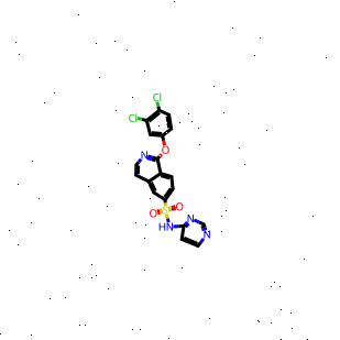 O=S(=O)(Nc1ccncn1)c1ccc2c(Oc3ccc(Cl)c(Cl)c3)nccc2c1